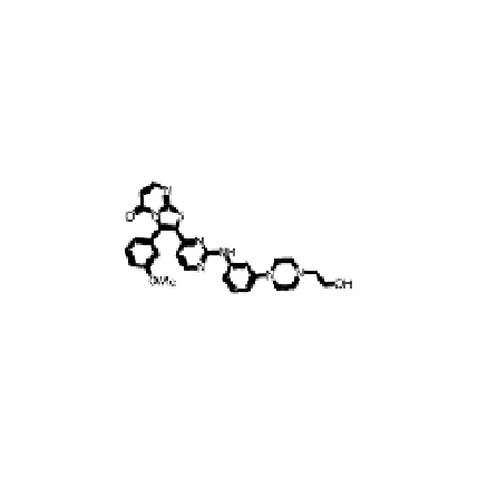 COc1cccc(-c2c(-c3ccnc(Nc4cccc(N5CCN(CCO)CC5)c4)n3)sc3nccc(=O)n23)c1